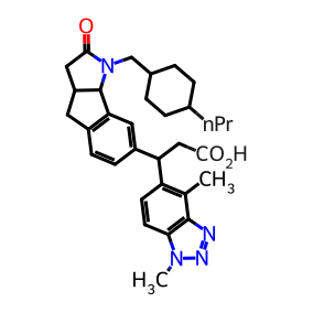 CCCC1CCC(CN2C(=O)CC3Cc4ccc(C(CC(=O)O)c5ccc6c(nnn6C)c5C)cc4C32)CC1